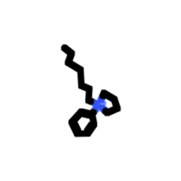 CCCCCCC[N+]1(c2ccccc2)CCCC1